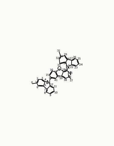 Cc1ccc2c(c1)c1ccccc1n2-c1ccc2oc3c(-n4c5ccccc5c5cc(C)ccc54)nc(C)cc3c2c1